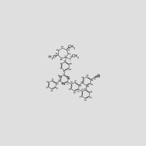 CCC1(c2ccc(-c3nc(-c4ccccc4)nc(-c4ccc5c6ccccc6c6cc(C#N)ccc6c5c4)n3)cc2)C[C@H](C)CC[C@H](C)C1